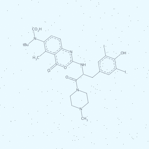 Cc1c(N(C(=O)O)C(C)(C)C)ccc2nc(NC(Cc3cc(I)c(O)c(I)c3)C(=O)N3CCN(C)CC3)oc(=O)c12